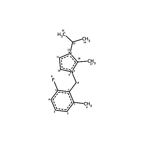 Cc1cccc(F)c1C[n+]1ccn(C(C)C)c1C